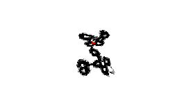 c1cc(-c2cccc3ccccc23)cc(N(c2ccc(-c3ccc(-c4ccccc4-n4c5ccccc5c5ccccc54)cc3)cc2)c2cccc3oc4ccccc4c23)c1